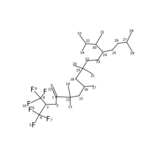 C=C(CC(C(F)(F)F)C(F)(F)F)C(C)(C)CC(C)CC(C)(C)CCC(CCC(C)C)C(C)C(C)C